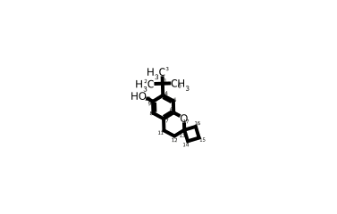 CC(C)(C)c1cc2c(cc1O)CCC1(CCC1)O2